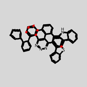 c1ccc(-c2ccccc2-c2ccccc2-c2nnnc(-c3cccc4sc5ccccc5c34)c2-c2c(-c3ccccc3)cccc2-c2cccc3c2[nH]c2ccccc23)cc1